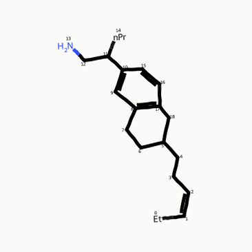 CC/C=C\CCC1CCc2cc(C(CN)CCC)ccc2C1